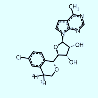 [2H]C1([2H])CO[C@@H]([C@H]2O[C@@H](n3ccc4c(C)ncnc43)[C@H](O)[C@@H]2O)c2ccc(Cl)cc21